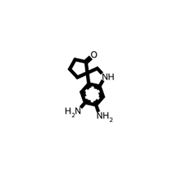 Nc1cc2c(cc1N)C1(CCCC1=O)CN2